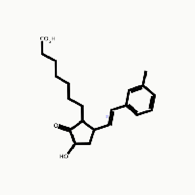 Cc1cccc(/C=C/C2CC(O)C(=O)C2CCCCCCC(=O)O)c1